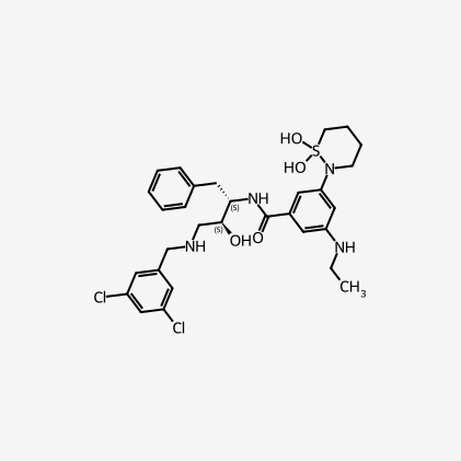 CCNc1cc(C(=O)N[C@@H](Cc2ccccc2)[C@@H](O)CNCc2cc(Cl)cc(Cl)c2)cc(N2CCCCS2(O)O)c1